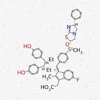 CC1=C(CC(=O)O)c2cc(F)ccc2/C1=C\c1ccc([S+](C)[O-])cc1.CC[C@H](c1ccc(O)cc1)[C@@H](CC)c1ccc(O)cc1.c1ccc([C@@H]2CN3CCSC3=N2)cc1